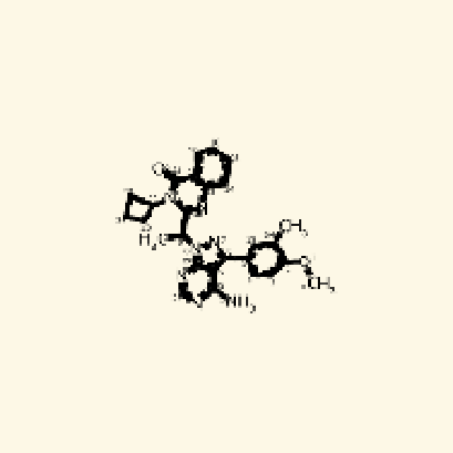 COc1ccc(-c2nn(C(C)c3nc4ccccc4c(=O)n3C3CCC3)c3ncnc(N)c23)cc1C